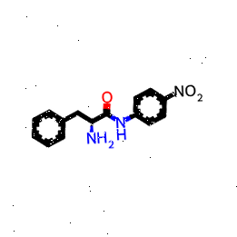 N[C@@H](Cc1ccccc1)C(=O)Nc1ccc([N+](=O)[O-])cc1